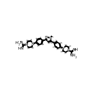 Cn1nc(-c2ccc(N3CCN(C(=N)N)CC3)cc2)cc1-c1ccc(N2CCN(C(=N)N)CC2)cc1